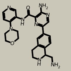 NCC1NCCc2cc(-c3cnc(N)c(C(=O)Nc4cnccc4N4CCOCC4)n3)ccc21